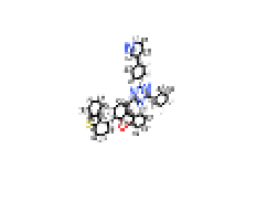 c1ccc(-c2nc(-c3ccc(-c4cccnc4)cc3)nc(-c3ccc(-c4cccc5sc6ccccc6c45)c4oc5ccccc5c34)n2)cc1